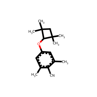 Cc1cc(OC2C(C)(C)[CH]C2(C)C)cc(C)c1C#N